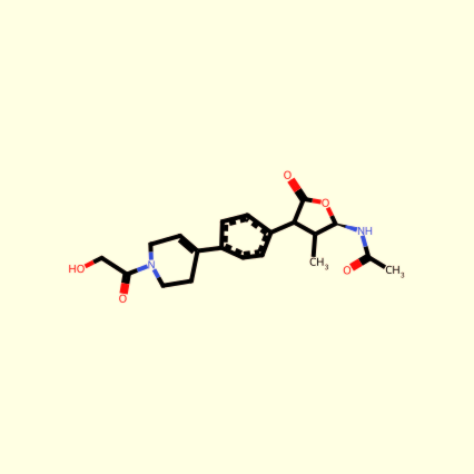 CC(=O)N[C@@H]1OC(=O)C(c2ccc(C3=CCN(C(=O)CO)CC3)cc2)C1C